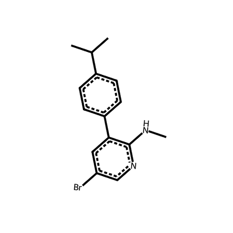 CNc1ncc(Br)cc1-c1ccc(C(C)C)cc1